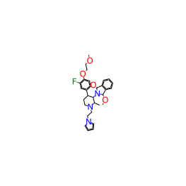 COCCOc1ccc(C2CCN(CCn3cccc3)C(C)C2N2C(=O)c3ccccc3C2OC)cc1F